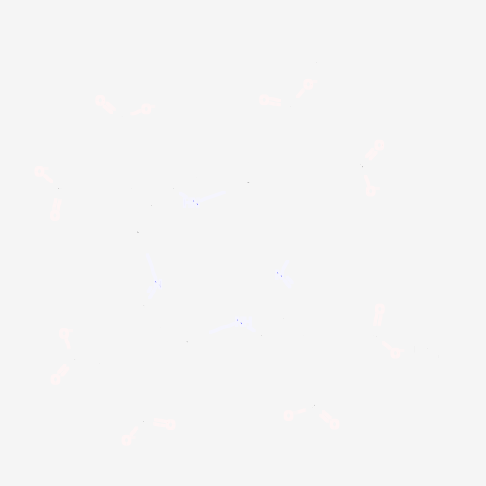 O=C([O-])c1cc(C(=O)[O-])cc(-c2c3nc(c(-c4cc(C(=O)[O-])cc(C(=O)[O-])c4)c4[nH]c(c(-c5cc(C(=O)[O-])cc(C(=O)[O-])c5)c5nc(c(-c6cc(C(=O)[O-])cc(C(=O)[O-])c6)c6[nH]c2c2ccccc62)-c2ccccc2-5)c2ccccc42)-c2ccccc2-3)c1.[Pt+2].[Pt+2].[Pt+2].[Pt+2]